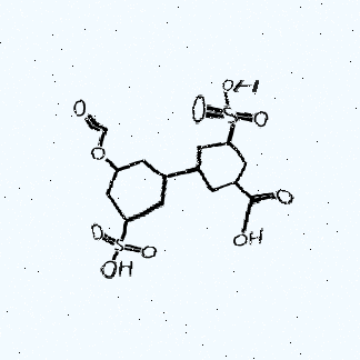 O=COC1CC(C2CC(C(=O)O)CC(S(=O)(=O)O)C2)CC(S(=O)(=O)O)C1